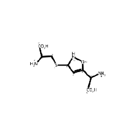 NC(CSC1C=C(C(N)C(=O)O)ON1)C(=O)O